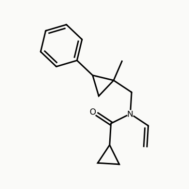 C=CN(CC1(C)CC1c1ccccc1)C(=O)C1CC1